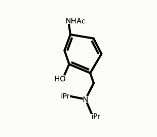 CC(=O)Nc1ccc(CN(C(C)C)C(C)C)c(O)c1